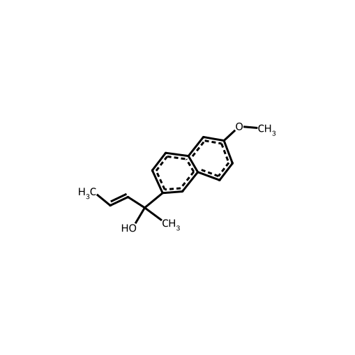 CC=CC(C)(O)c1ccc2cc(OC)ccc2c1